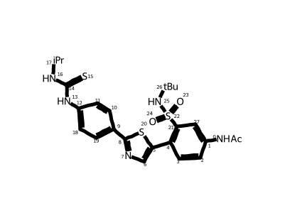 CC(=O)Nc1ccc(-c2cnc(-c3ccc(NC(=S)NC(C)C)cc3)s2)c(S(=O)(=O)NC(C)(C)C)c1